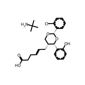 CC(C)(C)N.O=C(O)CCC=CC[C@@H]1CO[C@H](c2ccccc2Cl)O[C@@H]1c1ccccc1O